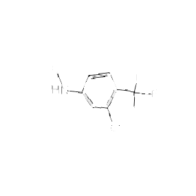 CNc1ccc(C(F)(F)F)c(Cl)c1